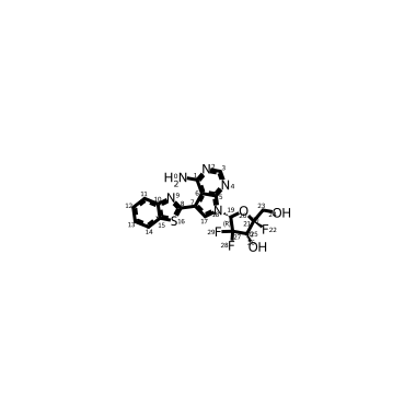 Nc1ncnc2c1c(-c1nc3ccccc3s1)cn2[C@@H]1O[C@](F)(CO)[C@@H](O)C1(F)F